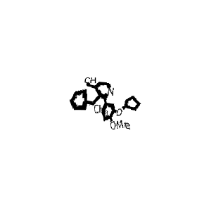 C=Cc1ccnc(-c2ccc(OC)c(OC3CCCC3)c2)c1C(C)c1ccccc1